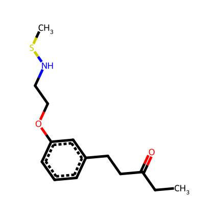 CCC(=O)CCc1cccc(OCCNSC)c1